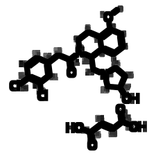 COc1cccc2c1CCN(C(=O)Cc1ccc(Cl)c(Cl)c1)C2CN1CCC(O)C1.O=C(O)/C=C/C(=O)O